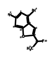 [2H]c1cc([2H])c2cc(C(C)F)oc2c1